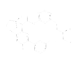 OC[C@H](O)COc1cc(NC(O)N2c3nc(-c4cccc(C(F)(F)F)c4)c(Cl)cc3N3CC[C@H]2C3)ncn1